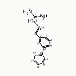 N=C(N)N/N=C/c1cccc(-c2ccccc2)c1